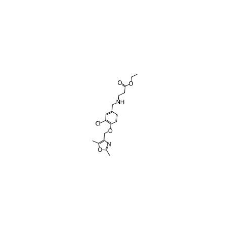 CCOC(=O)CCNCc1ccc(OCc2nc(C)oc2C)c(Cl)c1